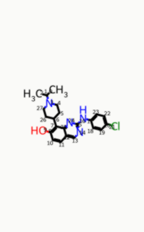 CC(C)N1CCC(c2c(O)ccc3cnc(Nc4ccc(Cl)cc4)nc23)CC1